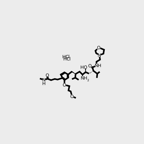 CNC(=O)CCCc1ccc(C[C@@H](C[C@H](N)[C@@H](O)C[C@H](C(=O)NCCN2CCOCC2)C(C)C)C(C)C)cc1OCCCOC.Cl.Cl